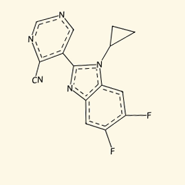 N#Cc1ncncc1-c1nc2cc(F)c(F)cc2n1C1CC1